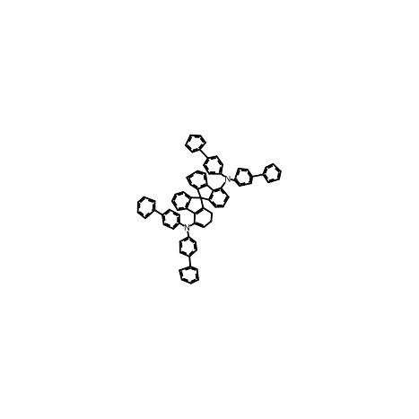 C1=C(N(c2ccc(-c3ccccc3)cc2)c2ccc(-c3ccccc3)cc2)C2=C(CC1)C1(c3ccccc32)c2ccccc2-c2c(N(c3ccc(-c4ccccc4)cc3)c3ccc(-c4ccccc4)cc3)cccc21